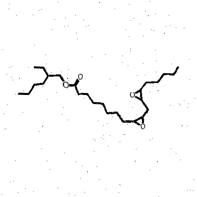 CCCCCC1OC1CC1OC1CCCCCCCC(=O)OCC(CC)CCCC